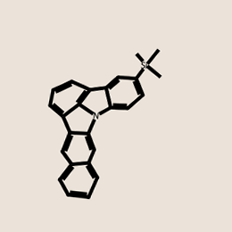 C[Si](C)(C)c1ccc2c(c1)c1cccc3c4cc5ccccc5cc4n2c13